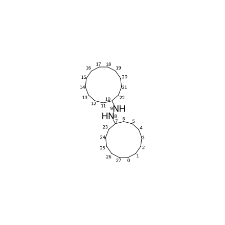 C1CCCCCCC(NNC2CCCCCCCCCCCC2)CCCCC1